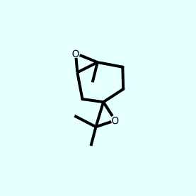 CC12CCC3(CC1O2)OC3(C)C